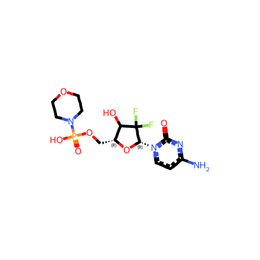 Nc1ccn([C@@H]2O[C@H](COP(=O)(O)N3CCOCC3)C(O)C2(F)F)c(=O)n1